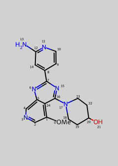 COc1cncc2nc(-c3ccnc(N)c3)nc(N3CCC(O)CC3)c12